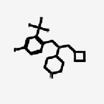 Fc1ccc(CN(CC2CCC2)C2CCNCC2)c(C(F)(F)F)c1